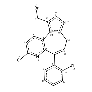 Clc1ccc2c(n1)C(c1ccccc1Cl)=NCc1nnc(CBr)n1-2